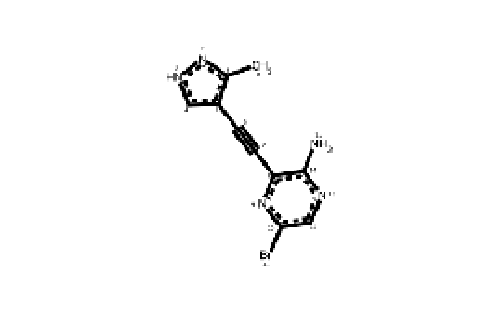 Cc1n[nH]cc1C#Cc1nc(Br)cnc1N